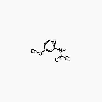 CCOc1ccnc(NC(=O)CC)c1